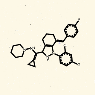 Fc1ccc(/C=C2\CCCC3=C2N(c2ccc(Cl)cc2Cl)NC3C(NN2CCCCC2)=C2CC2)cc1